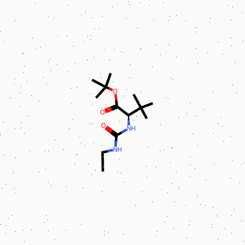 CCNC(=O)N[C@@H](C(=O)OC(C)(C)C)C(C)(C)C